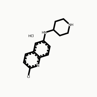 Cl.Clc1ccc2cc(NC3CCNCC3)ccc2n1